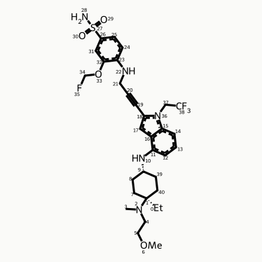 CC[C@]1(N(C)CCOC)CC[C@H](Nc2cccc3c2cc(C#CCNc2ccc(S(N)(=O)=O)cc2OCF)n3CC(F)(F)F)CC1